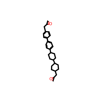 c1cc(-c2ccc(C3CCC(C4CCC(CC5CO5)CC4)CC3)cc2)ccc1CC1CO1